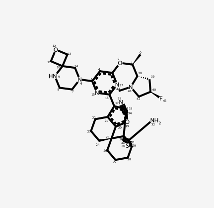 C[C@H](Oc1cc(N2CCNC3(COC3)C2)nc(-c2noc3c2CCC[C@@]32CCCc3sc(N)c(C#N)c32)n1)[C@@H]1C[C@@H](F)CN1C